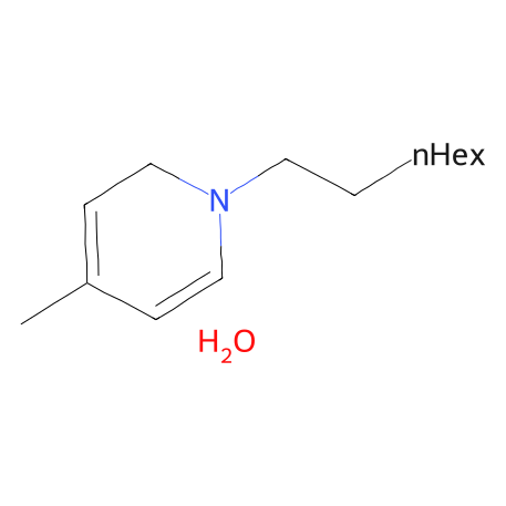 CCCCCCCCN1C=CC(C)=CC1.O